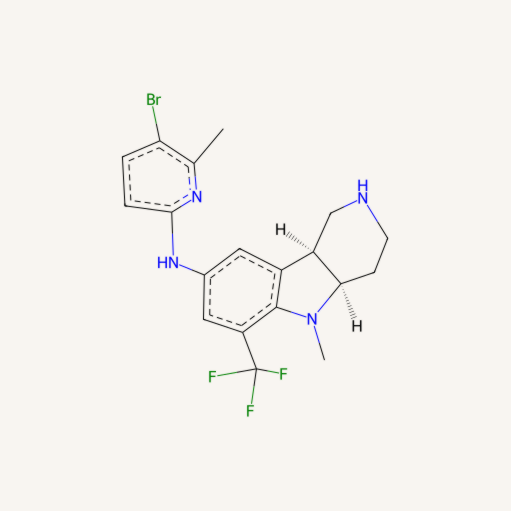 Cc1nc(Nc2cc3c(c(C(F)(F)F)c2)N(C)[C@@H]2CCNC[C@H]32)ccc1Br